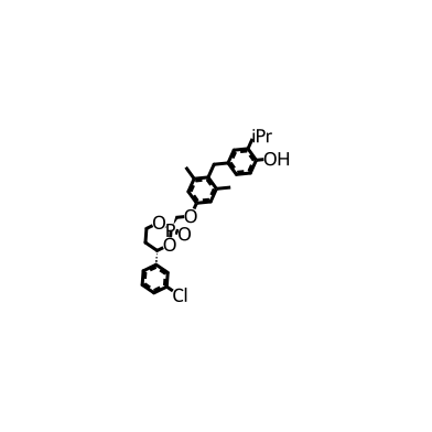 Cc1cc(OC[P@]2(=O)OCC[C@@H](c3cccc(Cl)c3)O2)cc(C)c1Cc1ccc(O)c(C(C)C)c1